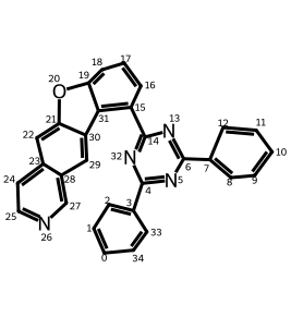 c1ccc(-c2nc(-c3ccccc3)nc(-c3cccc4oc5cc6ccncc6cc5c34)n2)cc1